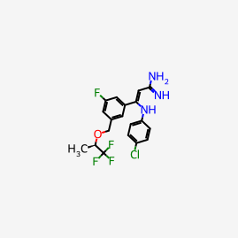 C[C@@H](OCc1cc(F)cc(/C(=C/C(=N)N)Nc2ccc(Cl)cc2)c1)C(F)(F)F